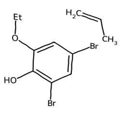 C=CC.CCOc1cc(Br)cc(Br)c1O